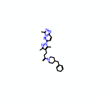 C=C(CCc1c(C)nn(-c2ccc3nnc(C)n3n2)c1C)N1CCC(CC2=CCCC=C2)CC1